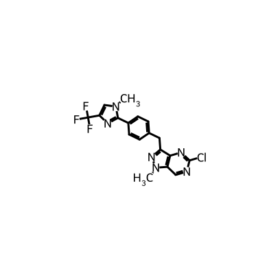 Cn1cc(C(F)(F)F)nc1-c1ccc(Cc2nn(C)c3cnc(Cl)nc23)cc1